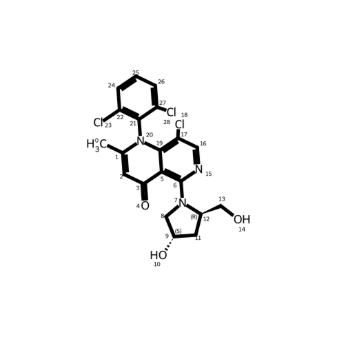 Cc1cc(=O)c2c(N3C[C@@H](O)C[C@@H]3CO)ncc(Cl)c2n1-c1c(Cl)cccc1Cl